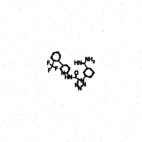 N=C(N)c1cccc(-n2nnnc2C(=O)Nc2ccc(-c3ccccc3C(F)(F)F)cn2)c1